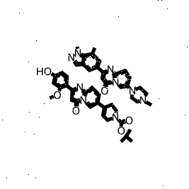 COc1cc(O)ccc1-c1cc(=O)n2cc(C3=CCN(C(=O)OC(C)(C)C)CC3)ccc2n1.Cc1cc(-c2cc(=O)n3cc(N4CCN(C)CC4)ccc3n2)cc2cnn(C)c12